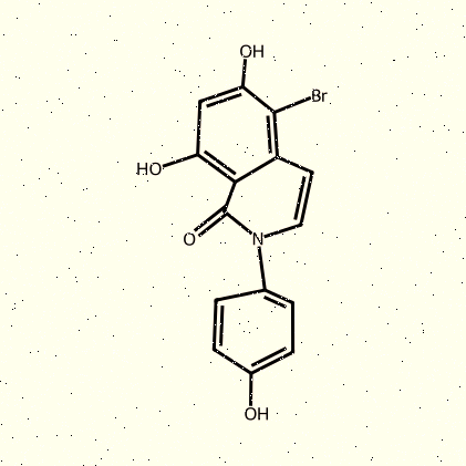 O=c1c2c(O)cc(O)c(Br)c2ccn1-c1ccc(O)cc1